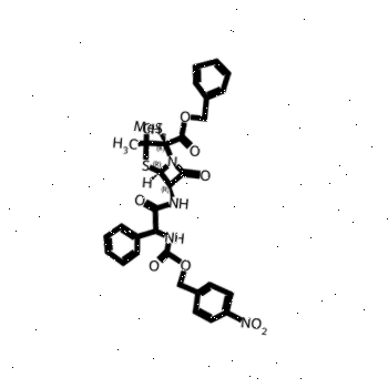 CS[C@@]1(C(=O)OCc2ccccc2)N2C(=O)[C@@H](NC(=O)C(NC(=O)OCc3ccc([N+](=O)[O-])cc3)c3ccccc3)[C@H]2SC1(C)C